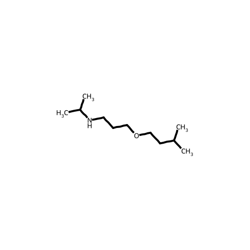 CC(C)CCOCCCNC(C)C